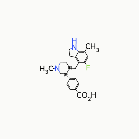 Cc1cc(F)c(C[C@@H]2CCN(C)C[C@H]2c2ccc(C(=O)O)cc2)c2cc[nH]c12